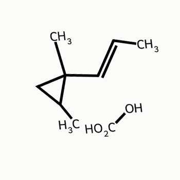 CC=CC1(C)CC1C.O=C(O)O